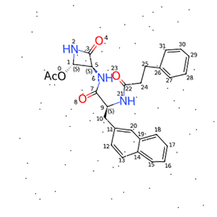 CC(=O)O[C@@H]1NC(=O)[C@H]1NC(=O)[C@H](Cc1ccc2ccccc2c1)NC(=O)CCc1ccccc1